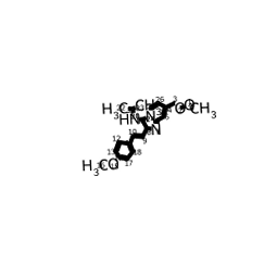 COOCC1=CC2=NC(/C=C/c3ccc(OC)cc3)C(NC(C)C)N2C=C1